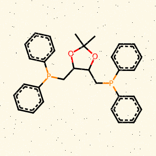 CC1(C)OC(CP(c2ccccc2)c2ccccc2)C(CP(c2ccccc2)c2ccccc2)O1